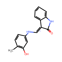 Cc1ccc(N/C=C2/C(=O)Nc3ccccc32)cc1O